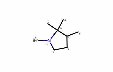 CC(C)N1CCC(C)C1(C)C